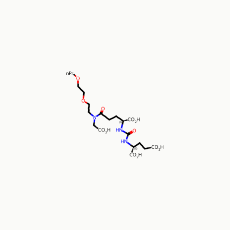 CCCOCCOCCN(CC(=O)O)C(=O)CC[C@H](NC(=O)N[C@@H](CCC(=O)O)C(=O)O)C(=O)O